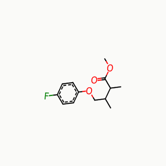 COC(=O)C(C)C(C)COc1ccc(F)cc1